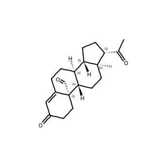 CC(=O)[C@H]1CC[C@H]2[C@@H]3CCC4=CC(=O)CC[C@]4(C=O)[C@H]3CC[C@]12C